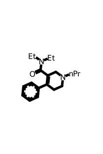 CCCN1CCC(c2ccccc2)=C(C(=O)N(CC)CC)C1